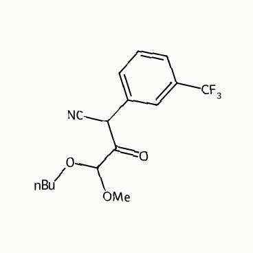 CCCCOC(OC)C(=O)C(C#N)c1cccc(C(F)(F)F)c1